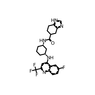 O=C(N[C@@H]1CCC[C@H](Nc2cc(C(F)(F)F)nc3ccc(F)cc23)C1)C1CCc2[nH]cnc2C1